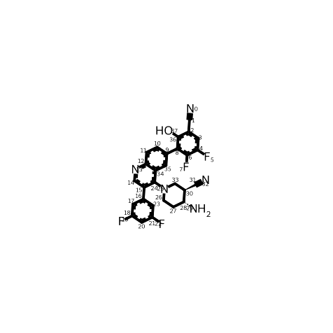 N#Cc1cc(F)c(F)c(-c2ccc3ncc(-c4cc(F)cc(F)c4)c(N4CC[C@@H](N)[C@H](C#N)C4)c3c2)c1O